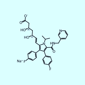 CC(C)n1c(C=C[C@@H](O)C[C@@H](O)CC(=O)[O-])c(-c2ccc(F)cc2)c(-c2ccc(F)cc2)c1C(=O)NCc1cccnc1.[Na+]